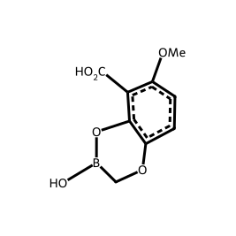 COc1ccc2c(c1C(=O)O)OB(O)CO2